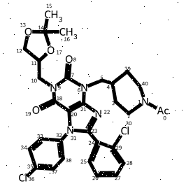 CC(=O)N1CCC(Cn2c(=O)n(CC3COC(C)(C)O3)c(=O)c3c2nc(-c2ccccc2Cl)n3-c2ccc(Cl)cc2)CC1